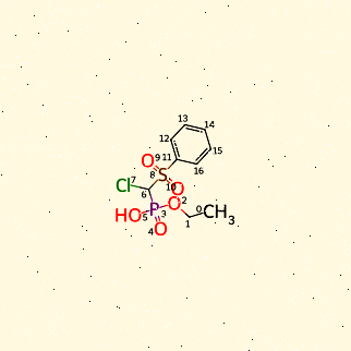 CCOP(=O)(O)C(Cl)S(=O)(=O)c1ccccc1